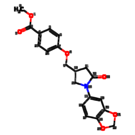 COC(=O)c1ccc(OCC2CC(=O)N(c3ccc4c(c3)OCO4)C2)cc1